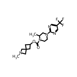 CC1CN(c2ncc(C(F)(F)F)cn2)CCN1C(=O)OC1CC2(C1)CN(C)C2